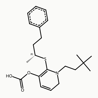 C[C@H](CCc1ccccc1)SC1=C(OC(=O)O)C=CCN1CCC(C)(C)C